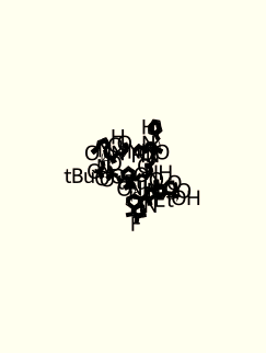 CC[C@@]1(O)C(=O)OCc2c1cc1n(c2=O)Cc2c-1nc1cc(F)c(C)c3c1c2[C@@H](NC(=O)C1(COCNC(=O)CNC(=O)[C@H](Cc2ccccc2)NC(=O)CNC(=O)CNC(=O)[C@H](CN(CC(=O)OC(C)(C)C)C(=O)OC(C)(C)C)N2C(=O)C=CC2=O)CCCC1)CC3